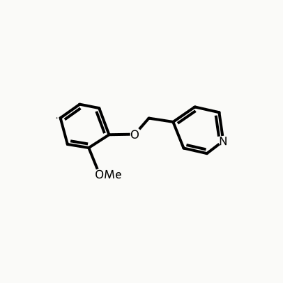 COc1c[c]ccc1OCc1ccncc1